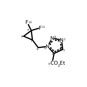 CCOC(=O)c1cnnn1CC1CC1(F)F